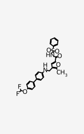 Cc1oc(C(=O)NS(=O)(=O)c2ccccc2)cc1CNc1ccc(-c2ccc(OC(F)F)cc2)cc1